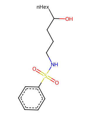 CCCCCCC(O)CCCNS(=O)(=O)c1ccccc1